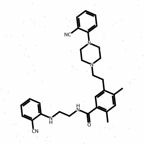 Cc1cc(C)c(C(=O)NCCNc2ccccc2C#N)cc1CCN1CCN(c2ccccc2C#N)CC1